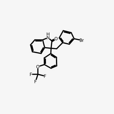 O=C1Nc2ccccc2C1(Cc1cccc(Br)c1)c1cccc(OC(F)(F)F)c1